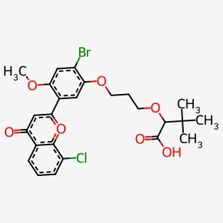 COc1cc(Br)c(OCCCOC(C(=O)O)C(C)(C)C)cc1-c1cc(=O)c2cccc(Cl)c2o1